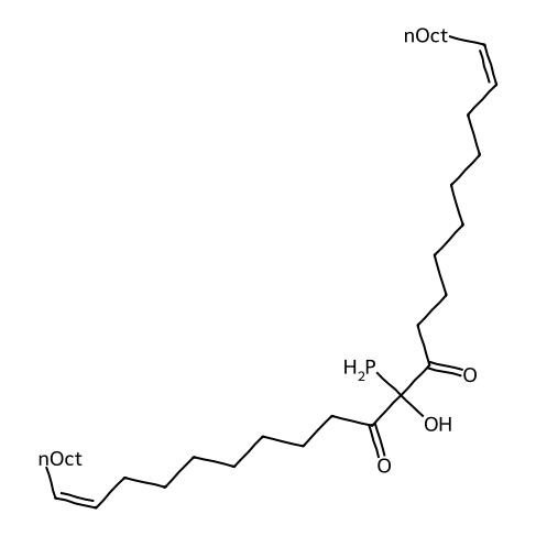 CCCCCCCC/C=C\CCCCCCCC(=O)C(O)(P)C(=O)CCCCCCC/C=C\CCCCCCCC